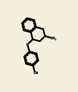 CN1Cc2ccccc2C(Oc2ccc(C#N)cc2)C1